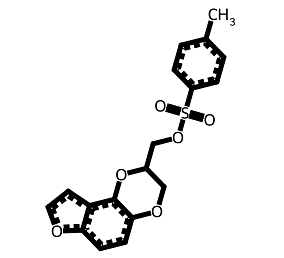 Cc1ccc(S(=O)(=O)OCC2COc3ccc4occc4c3O2)cc1